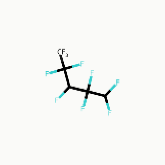 F[C](F)C(F)(F)[C](F)C(F)(F)C(F)(F)F